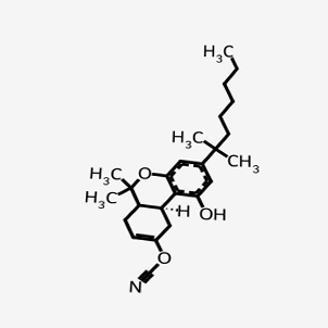 CCCCCCC(C)(C)c1cc(O)c2c(c1)OC(C)(C)C1CC=C(OC#N)C[C@H]21